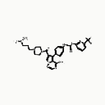 CN(C)CCCN1CCN(C(=O)c2cn3ncnc(N)c3c2-c2ccc(NC(=O)Nc3cccc(C(F)(F)F)n3)cc2)CC1